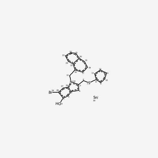 Oc1cc2cc(CSc3ccccc3)n(Cc3cccc4ccccc34)c2cc1Br.[Sn]